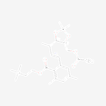 Cc1cc(C)c(C(=O)OCC[Si](C)(C)C)c(/C=C/C(C)[C@@H]2OC(C)(C)O[C@@H]2COC(=O)C(C)(C)C)c1